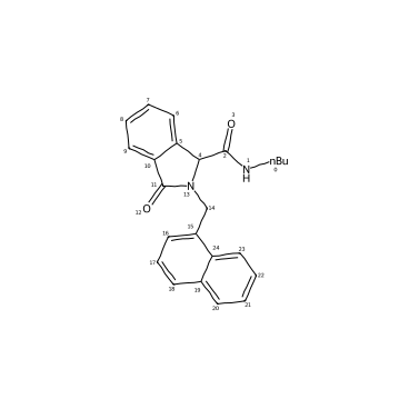 CCCCNC(=O)C1c2ccccc2C(=O)N1Cc1cccc2ccccc12